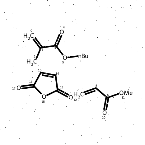 C=C(C)C(=O)OCCCC.C=CC(=O)OC.O=C1C=CC(=O)O1